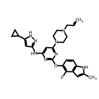 C=CCN1CCN(c2cc(Nc3cc(C4CC4)[nH]n3)nc(Oc3ccc4[nH]c(C)cc4c3F)n2)CC1